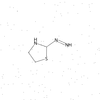 N=NC1NCCS1